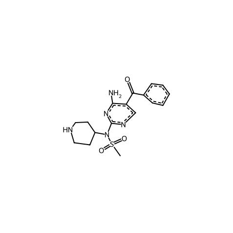 CS(=O)(=O)N(c1ncc(C(=O)c2ccccc2)c(N)n1)C1CCNCC1